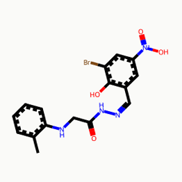 Cc1ccccc1NCC(=O)N/N=C\c1cc([N+](=O)O)cc(Br)c1O